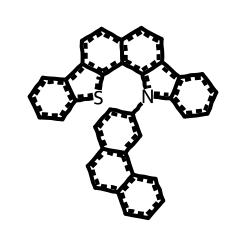 c1ccc2c(c1)ccc1ccc(-n3c4ccccc4c4ccc5ccc6c7ccccc7sc6c5c43)cc12